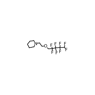 FC(F)C(F)(F)C(F)(F)C(F)(F)COCCN1CCCCC1